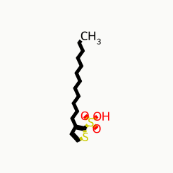 CCCCCCCCCCCCc1ccsc1S(=O)(=O)O